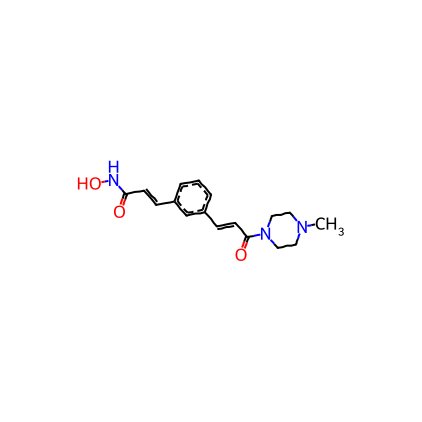 CN1CCN(C(=O)C=Cc2cccc(C=CC(=O)NO)c2)CC1